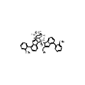 CCCCc1ccccc1-c1cccc2c1C=C(CC(C)C)[CH]2[Hf]([Cl])([Cl])([B](NC=O)NC=O)[CH]1C(CC(C)C)=Cc2c(-c3ccccc3CCCC)cccc21